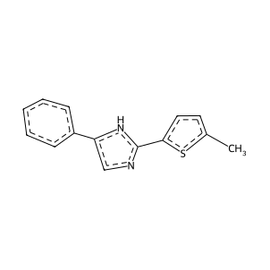 Cc1ccc(-c2ncc(-c3ccccc3)[nH]2)s1